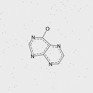 [O]c1ncnc2nccnc12